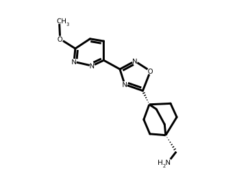 COc1ccc(-c2noc([C@]34CC[C@](CN)(CC3)CC4)n2)nn1